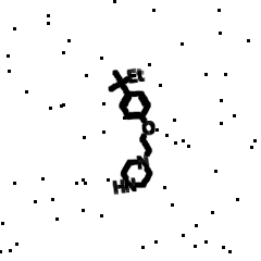 CCC(C)(C)c1ccc(OCCN2CCNCC2)cc1